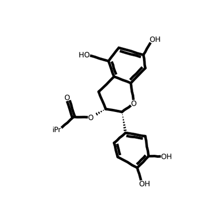 CC(C)C(=O)O[C@@H]1Cc2c(O)cc(O)cc2O[C@@H]1c1ccc(O)c(O)c1